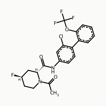 CC(=O)N1CC[C@@H](F)C[C@@H]1C(=O)Nc1ccc(-c2ccccc2OC(F)(F)F)c(Cl)c1